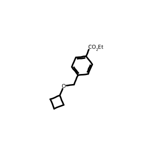 CCOC(=O)c1ccc(COC2CCC2)cc1